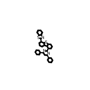 c1ccc(-c2cc(-c3ccccc3)nc(-c3cccc4sc5c(-c6nc7ccccc7s6)cccc5c34)n2)cc1